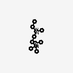 c1ccc(-c2cccc(-c3cc(-c4ccc(-c5cccc6c5cc(-c5ccccc5)n5nc(-c7ccccc7)c(-c7ccccc7)c65)cc4)nc(-c4ccccc4)n3)c2)cc1